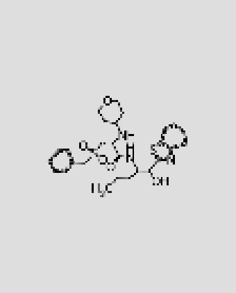 CCCC(NC(=O)[C@H](CS(=O)(=O)Cc1ccccc1)NC1CCOCC1)C(O)c1nc2ccccc2s1